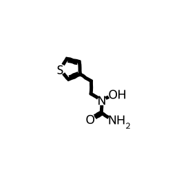 NC(=O)N(O)CCc1ccsc1